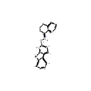 c1cnc2c(c1)CCC/C2=N\Nc1nnc2c(n1)[nH]c1ccccc12